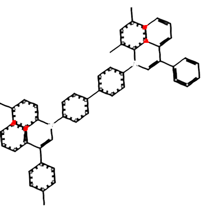 Cc1ccc(/C(=C/N(c2ccc(-c3ccc(N(/C=C(/C4=C=C=CC=C4)C4=CC=CCC4)c4ccc(C)cc4C)cc3)cc2)c2ccc(C)cc2C)c2ccccc2)cc1